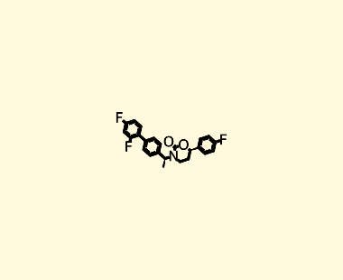 C[C@@H](c1ccc(-c2ccc(F)cc2F)cc1)N1CC[C@H](c2ccc(F)cc2)OC1=O